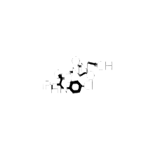 C#CCN1C(=O)CN(COC(=O)C(Nc2ccc(Cl)cc2)C(C)C)C1=O